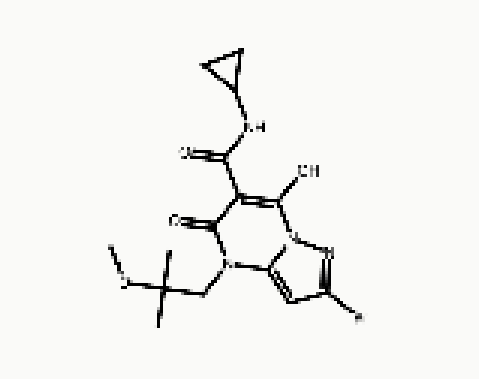 COC(C)(C)Cn1c(=O)c(C(=O)NC2CC2)c(O)n2nc(Br)cc12